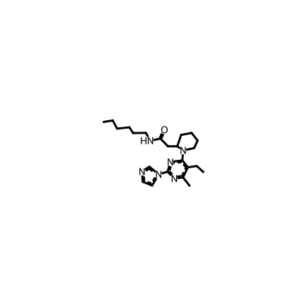 CCCCCCNC(=O)CC1CCCCN1c1nc(-n2ccnc2)nc(C)c1CC